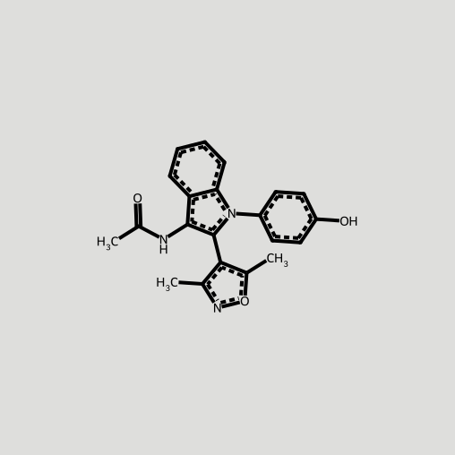 CC(=O)Nc1c(-c2c(C)noc2C)n(-c2ccc(O)cc2)c2ccccc12